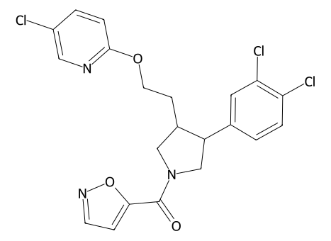 O=C(c1ccno1)N1CC(CCOc2ccc(Cl)cn2)C(c2ccc(Cl)c(Cl)c2)C1